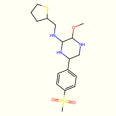 COC1NCC(c2ccc(S(C)(=O)=O)cc2)NC1NCC1CCCS1